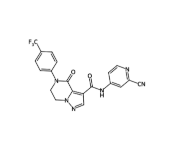 N#Cc1cc(NC(=O)c2cnn3c2C(=O)N(c2ccc(C(F)(F)F)cc2)CC3)ccn1